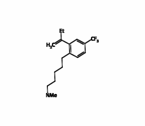 C=C(CC)c1cc(C(F)(F)F)ccc1CCCCCNC